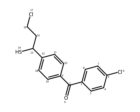 O=C(c1ccc(Cl)cc1)c1ccc(C(S)CCCl)cc1